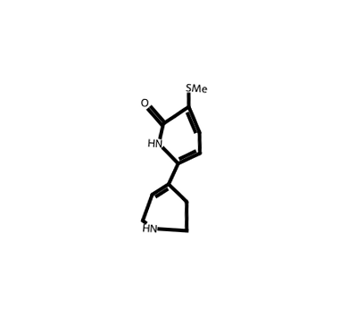 CSc1ccc(C2=CCNCC2)[nH]c1=O